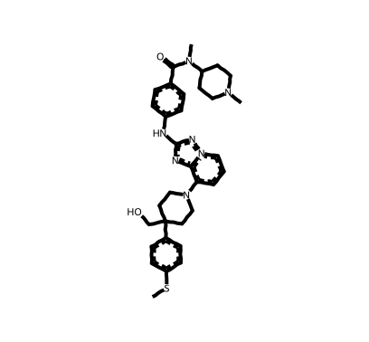 CSc1ccc(C2(CO)CCN(c3cccn4nc(Nc5ccc(C(=O)N(C)C6CCN(C)CC6)cc5)nc34)CC2)cc1